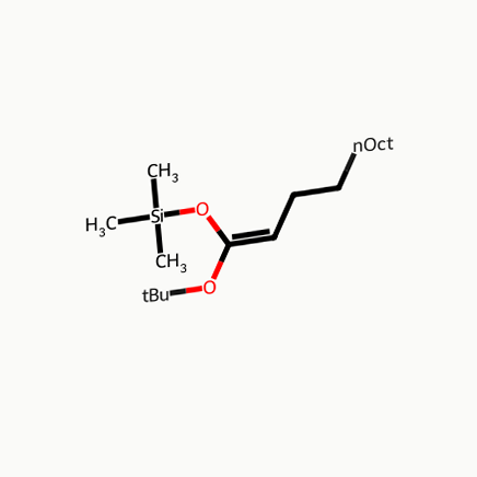 CCCCCCCCCC/C=C(/OC(C)(C)C)O[Si](C)(C)C